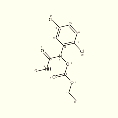 CCOC(=O)ON(C(=O)NC)c1cc(Cl)ccc1Cl